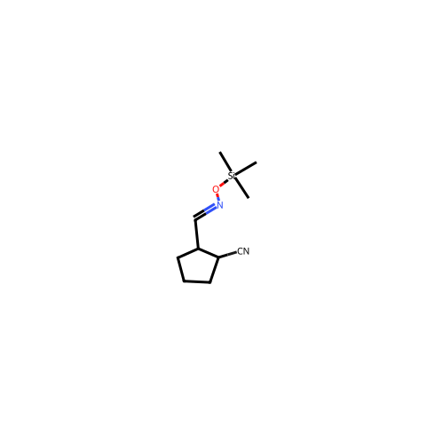 C[Si](C)(C)ON=CC1CCCC1C#N